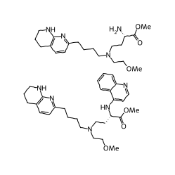 COCCN(CCCCc1ccc2c(n1)NCCC2)CC[C@H](N)C(=O)OC.COCCN(CCCCc1ccc2c(n1)NCCC2)CC[C@H](Nc1ccnc2ccccc12)C(=O)OC